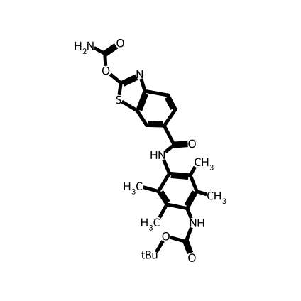 Cc1c(C)c(NC(=O)c2ccc3nc(OC(N)=O)sc3c2)c(C)c(C)c1NC(=O)OC(C)(C)C